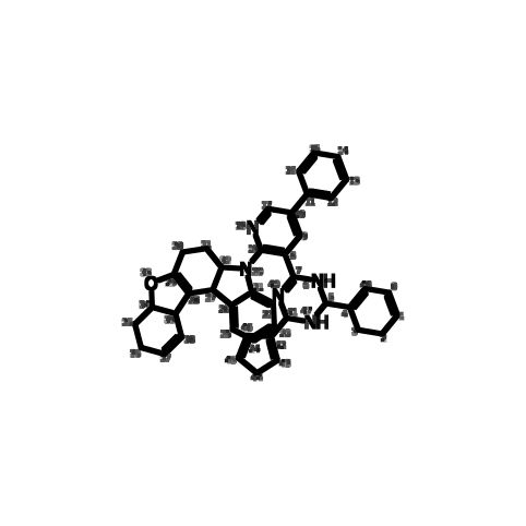 C1=CCCC(C2NC(c3cc(-c4ccccc4)cnc3N3c4ccccc4C4C5=C(CCC43)OC3CCC=CC53)=NC(C3=CCC=C3)N2)=C1